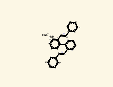 C(=C\c1ccccc1-c1ccccc1/C=C/c1ccccc1)/c1ccccc1.[NaH].[NaH]